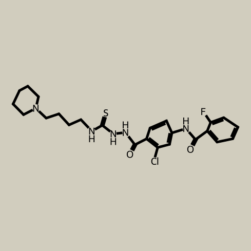 O=C(Nc1ccc(C(=O)NNC(=S)NCCCCN2CCCCC2)c(Cl)c1)c1ccccc1F